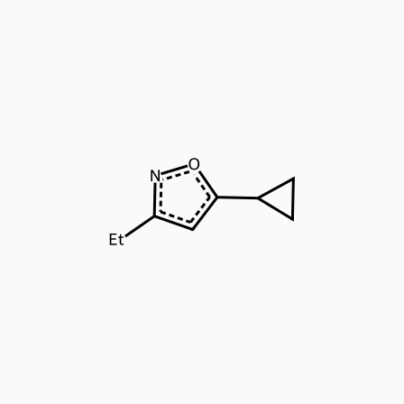 [CH2]Cc1cc(C2CC2)on1